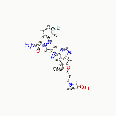 CCCN(CCO)CCCOc1cc2ncnc(NC3=CN(CC(N)=O)N(c4cccc(F)c4)C3)c2cc1OC